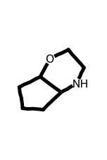 C1CC2NCCOC2C1